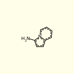 Nc1ccc2ccccn12